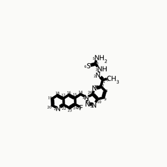 CC(=NNC(N)=S)c1ccc2nnn(Cc3cc4cccnc4cc3F)c2n1